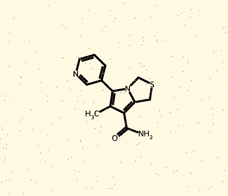 Cc1c(C(N)=O)c2n(c1-c1cccnc1)CSC2